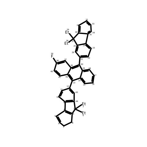 CCC1(CC)C2=C(C=CCC2)c2ccc(-c3c4ccccc4c(-c4ccc5c(c4)C(CC)(CC)c4ccccc4-5)c4cc(F)ccc34)cc21